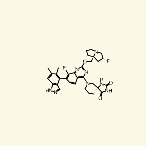 Cc1cc2[nH]ncc2c(-c2ccc3c(N4CCC[C@]5(C4)NC(=O)NC5=O)nc(OC[C@@]45CCCN4C[C@H](F)C5)nc3c2F)c1C